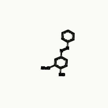 COc1cc(N=Nc2ccccc2)ccc1N=O